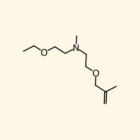 C=C(C)COCCN(C)CCOCC